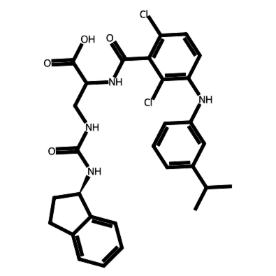 CC(C)c1cccc(Nc2ccc(Cl)c(C(=O)NC(CNC(=O)N[C@@H]3CCc4ccccc43)C(=O)O)c2Cl)c1